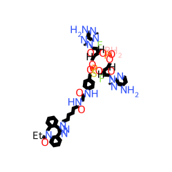 B[P@@]1(=O)OC[C@H]2O[C@@H](n3cnc4c(N)ccnc43)[C@H](F)[C@@H]2O[P@@](=O)(SCc2ccc(NC(=O)CNC(=O)CCCCCn3nnc4c3-c3ccccc3CN(C(=O)CC)c3ccccc3-4)cc2)OC[C@H]2O[C@@H](n3cnc4c(N)ncnc43)[C@H](F)[C@@H]2O1